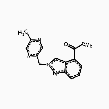 COC(=O)c1cccc2nn(Cc3cnc(C)cn3)cc12